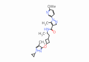 COc1ccc(-n2ncc(C(=O)N[C@@H](C)CC3CC(Oc4nn(C5CC5)cc4C)C3)c2C)cn1